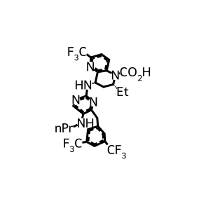 CCCNc1cnc(N[C@H]2C[C@@H](CC)N(C(=O)O)c3ccc(C(F)(F)F)nc32)nc1Cc1cc(C(F)(F)F)cc(C(F)(F)F)c1